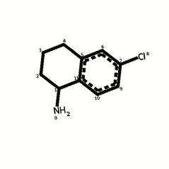 NC1CCCc2cc(Cl)ccc21